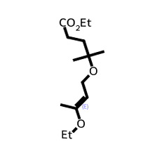 CCOC(=O)CCC(C)(C)OC/C=C(\C)OCC